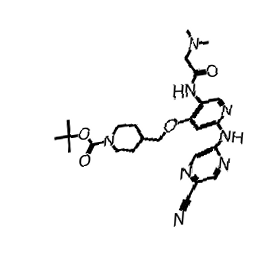 CN(C)CC(=O)Nc1cnc(Nc2cnc(C#N)cn2)cc1OCC1CCN(C(=O)OC(C)(C)C)CC1